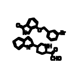 O=C1N=Cc2c(OCc3cccc(Br)c3)cccc21.O=CC(=O)C1CCC(c2ccc3ccccc3n2)CN1